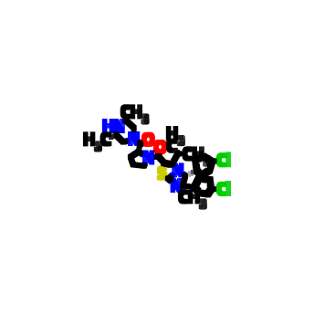 CC(C)C1=C(C(=O)N2CCC[C@H]2C(=O)N2C[C@@H](C)N[C@@H](C)C2)SC2=N[C@@](C)(c3ccc(Cl)cc3)[C@@H](c3ccc(Cl)cc3)N21